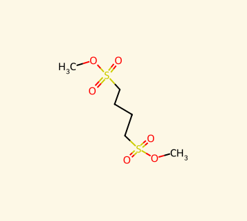 COS(=O)(=O)CCCCS(=O)(=O)OC